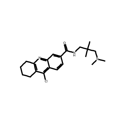 CN(C)CC(C)(C)CNC(=O)c1ccc2c(Cl)c3c(nc2c1)CCCC3